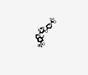 CS(=O)(=O)c1cc(F)c2c(c1)CCN2c1cc(OC2CCN(C(=O)S)CC2)ncn1